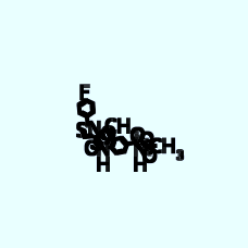 COc1cc(C(=O)NS(C)(=O)=O)ccc1NS(=O)(=O)c1csc(-c2ccc(F)cc2)n1